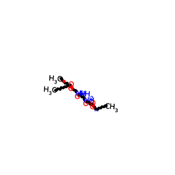 CCCCCC/C=C\COC(=O)CCC(=O)NCCCC(N)C(=O)NCCCCOC(=O)C(CCCCCC)CCCCCCCC